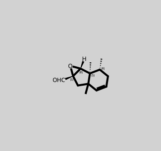 C[C@@H]1CC=CC2(C)C[C@]3(C=O)O[C@@H]3[C@@]12C